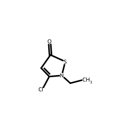 CCn1sc(=O)cc1Cl